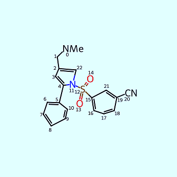 CNCc1cc(-c2ccccc2)n(S(=O)(=O)c2cccc(C#N)c2)c1